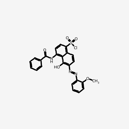 COc1ccccc1/N=N/c1ccc2c(S(=O)(=O)Cl)ccc(NC(=O)c3ccccc3)c2c1O